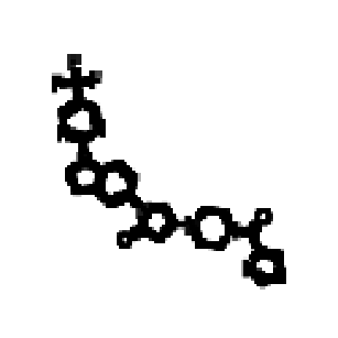 O=C(c1cscn1)N1CCN([C@@H]2CC(=O)N(c3ccc4c(c3)CCN4c3ncc(C(F)(F)F)cn3)C2)CC1